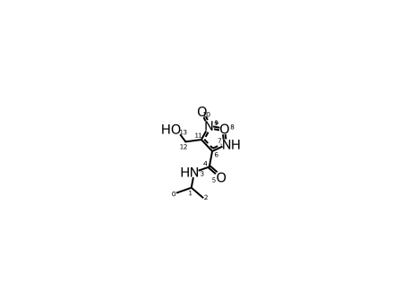 CC(C)NC(=O)c1[nH]o[n+](=O)c1CO